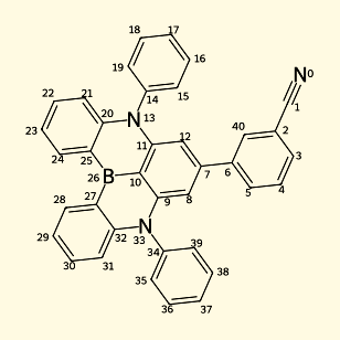 N#Cc1cccc(-c2cc3c4c(c2)N(c2ccccc2)c2ccccc2B4c2ccccc2N3c2ccccc2)c1